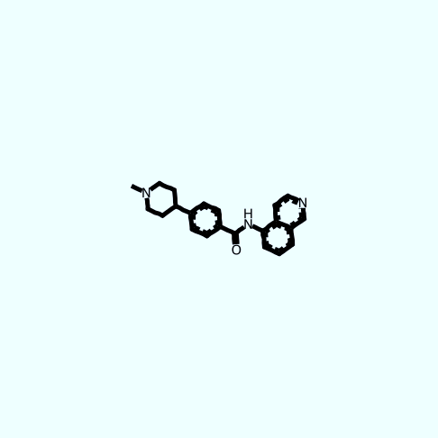 CN1CCC(c2ccc(C(=O)Nc3cccc4cnccc34)cc2)CC1